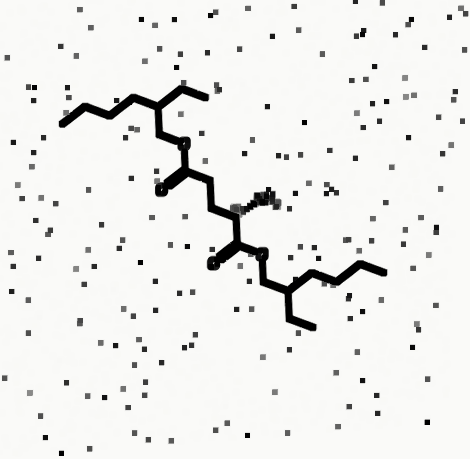 CCCCC(CC)COC(=O)CC[C@H](N)C(=O)OCC(CC)CCCC